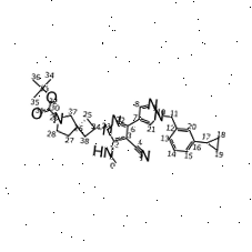 CNc1c(C#N)c(-c2cnn(Cc3cccc(C4CC4)c3)c2)nn1[C@H]1C[C@@]2(CCN(C(=O)OC(C)(C)C)C2)C1